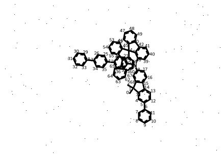 CC1(C)c2cc(-c3ccccc3)ccc2-c2ccc(N(c3ccc(-c4ccc(-c5ccccc5)cc4)cc3)c3cccc4c3C3(c5ccccc5-4)c4ccccc4-c4c3ccc3ccccc43)cc21